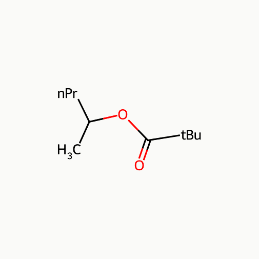 [CH2]CCC(C)OC(=O)C(C)(C)C